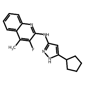 Cc1c(F)c(Nc2cc(C3CCCC3)[nH]n2)nc2ccccc12